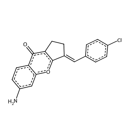 Nc1ccc2c(=O)c3c(oc2c1)C(=Cc1ccc(Cl)cc1)CC3